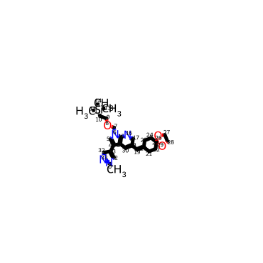 Cn1cc(-c2cn(COCC[Si](C)(C)C)c3ncc(C=C4CCC5(CC4)OCCO5)cc23)cn1